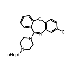 CCCCCCCN1CCN(C2=Nc3cc(Cl)ccc3Oc3ccccc32)CC1